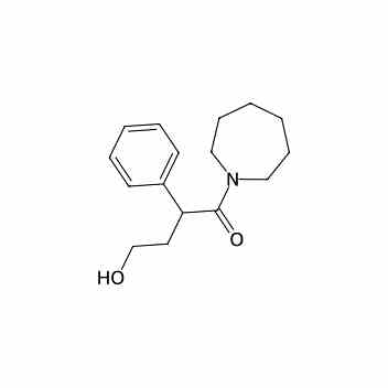 O=C(C(CCO)c1ccccc1)N1CCCCCC1